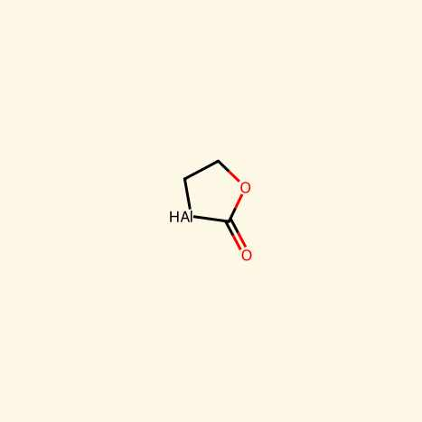 O=[C]1OC[CH2][AlH]1